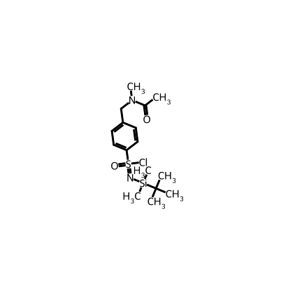 CC(=O)N(C)Cc1ccc(S(=O)(Cl)=N[Si](C)(C)C(C)(C)C)cc1